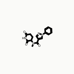 CN(C(=O)c1cnn(-c2ccccc2)c1)C1CCC(=O)NC1=O